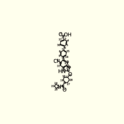 O=C(O)c1ccc(-c2ccc(-c3nc4nc(O[C@H]5CC[C@H](C(=O)N6CCC6)CC5)[nH]c4cc3Cl)cc2)cc1